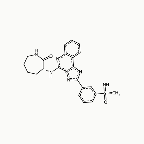 C[S@@](=N)(=O)c1cccc(-c2nc3c4ccccc4nc(N[C@@H]4CCCCNC4=O)n3n2)c1